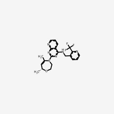 CC1=C[C@@H](C)OCCN1c1nc(NCc2cccnc2C(F)(F)F)c2cccnc2n1